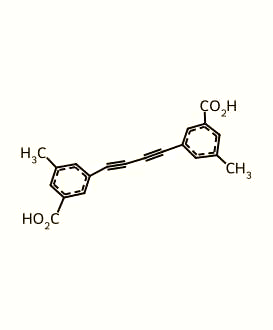 Cc1cc(C#CC#Cc2cc(C)cc(C(=O)O)c2)cc(C(=O)O)c1